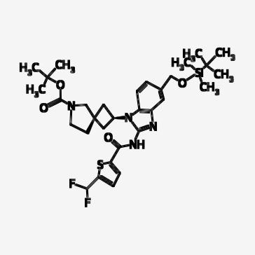 CC(C)(C)OC(=O)N1CC[C@]2(C1)C[C@H](n1c(NC(=O)c3ccc(C(F)F)s3)nc3cc(CO[Si](C)(C)C(C)(C)C)ccc31)C2